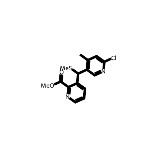 COC(=O)c1ncccc1C(SC)c1cnc(Cl)cc1C